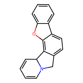 C1=CC2c3c(ccc4c3oc3ccccc34)CN2C=C1